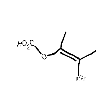 CCCC(C)=C(C)OC(=O)O